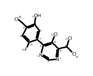 Oc1cc(-c2ncnc(C(Cl)Cl)c2Cl)c(F)cc1Cl